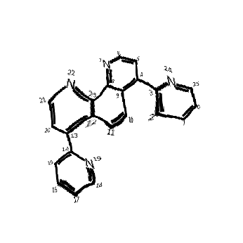 c1ccc(-c2ccnc3c2ccc2c(-c4ccccn4)ccnc23)nc1